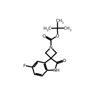 CC(C)(C)OC(=O)N1CC2(C1)C(=O)Nc1ccc(F)cc12